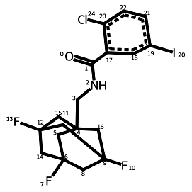 O=C(NCC12CC3(F)CC(F)(CC(F)(C3)C1)C2)c1cc(I)ccc1Cl